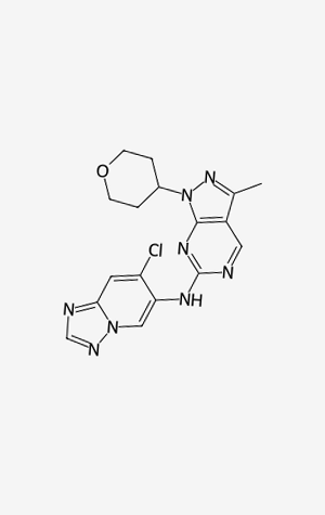 Cc1nn(C2CCOCC2)c2nc(Nc3cn4ncnc4cc3Cl)ncc12